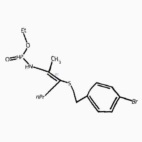 CCC/C(SCc1ccc(Br)cc1)=C(/C)N[PH](=O)OCC